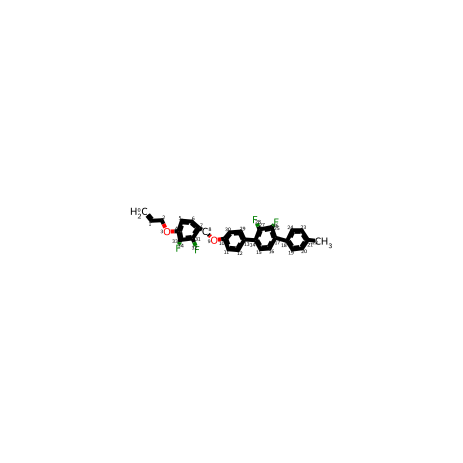 C=CCOc1ccc(COc2ccc(-c3ccc(-c4ccc(C)cc4)c(F)c3F)cc2)c(F)c1F